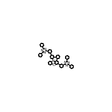 Clc1ccccc1N1c2ccc(-c3cccc(-c4nc(-c5ccccc5)nc(-c5ccccc5)n4)c3)cc2-c2ccccc2-c2cc(-c3cccc(-c4nc(-c5ccccc5)nc(-c5ccccc5)n4)c3)ccc21